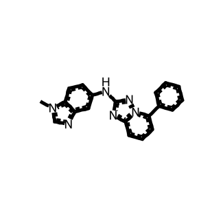 Cn1cnc2cc(Nc3nc4cccc(-c5ccccc5)n4n3)ccc21